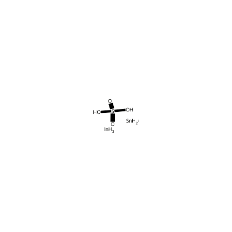 O=S(=O)(O)O.[InH3].[SnH2]